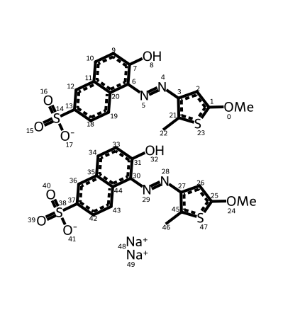 COc1cc(N=Nc2c(O)ccc3cc(S(=O)(=O)[O-])ccc23)c(C)s1.COc1cc(N=Nc2c(O)ccc3cc(S(=O)(=O)[O-])ccc23)c(C)s1.[Na+].[Na+]